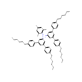 CCCCCCc1ccc(-c2cc(-c3ccc(CCCCCC)cc3)cc(N(c3cc(-c4ccc(CCCCCC)cc4)cc(-c4ccc(CCCCCC)cc4)c3)c3c(C)cc(C)cc3C)c2)cc1